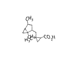 CC1CC(CC2(C)CC2C(=O)O)C2(C)CC12